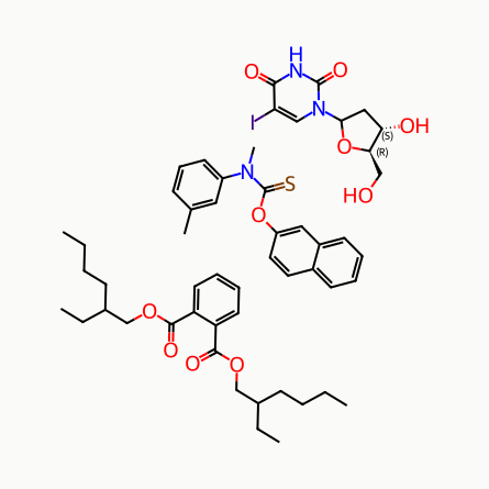 CCCCC(CC)COC(=O)c1ccccc1C(=O)OCC(CC)CCCC.Cc1cccc(N(C)C(=S)Oc2ccc3ccccc3c2)c1.O=c1[nH]c(=O)n(C2C[C@H](O)[C@@H](CO)O2)cc1I